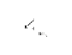 I.[BiH3].[K][I]